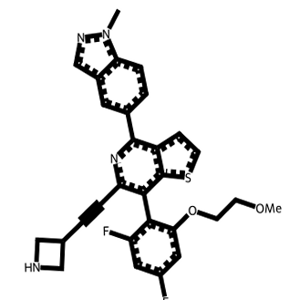 COCCOc1cc(F)cc(F)c1-c1c(C#CC2CNC2)nc(-c2ccc3c(cnn3C)c2)c2ccsc12